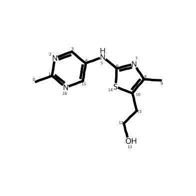 Cc1ncc(Nc2nc(C)c(CCO)s2)cn1